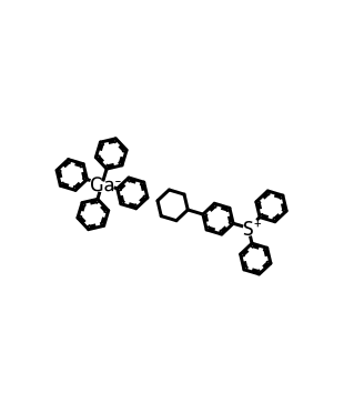 c1cc[c]([Ga-]([c]2ccccc2)([c]2ccccc2)[c]2ccccc2)cc1.c1ccc([S+](c2ccccc2)c2ccc(C3CCCCC3)cc2)cc1